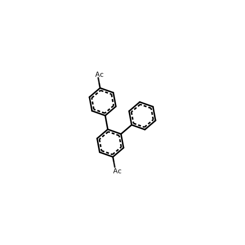 CC(=O)c1ccc(-c2ccc(C(C)=O)cc2-c2ccccc2)cc1